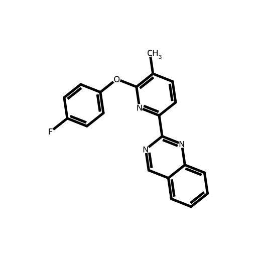 Cc1ccc(-c2ncc3ccccc3n2)nc1Oc1ccc(F)cc1